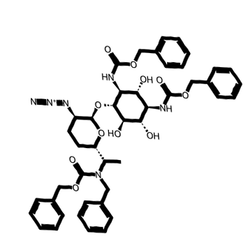 CC([C@@H]1CC[C@@H](N=[N+]=[N-])[C@@H](O[C@H]2[C@H](O)[C@@H](O)[C@H](NC(=O)OCc3ccccc3)[C@@H](O)[C@@H]2NC(=O)OCc2ccccc2)O1)N(Cc1ccccc1)C(=O)OCc1ccccc1